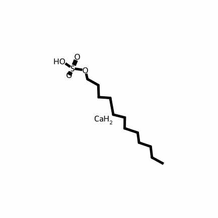 CCCCCCCCCCCCOS(=O)(=O)O.[CaH2]